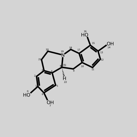 Oc1cc2c(cc1O)[C@@H]1Cc3ccc(O)c(O)c3CN1CC2